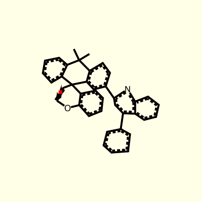 CC1(C)c2ccccc2C2(c3ccccc3Oc3ccccc32)c2cc(-c3cc(-c4ccccc4)c4ccccc4n3)ccc21